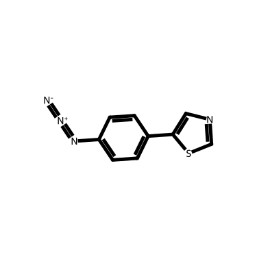 [N-]=[N+]=Nc1ccc(-c2cncs2)cc1